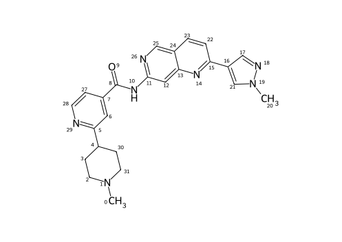 CN1CCC(c2cc(C(=O)Nc3cc4nc(-c5cnn(C)c5)ccc4cn3)ccn2)CC1